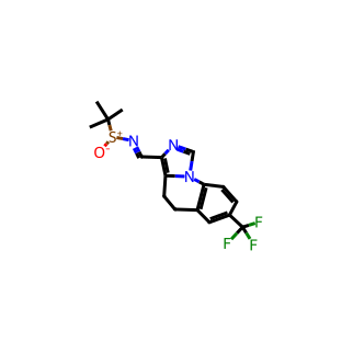 CC(C)(C)[S+]([O-])/N=C/c1ncn2c1CCc1cc(C(F)(F)F)ccc1-2